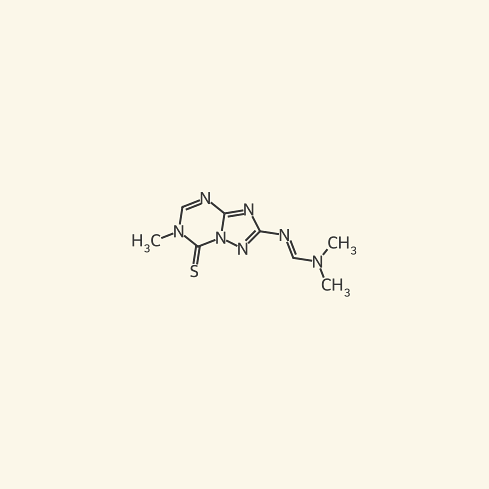 CN(C)/C=N/c1nc2ncn(C)c(=S)n2n1